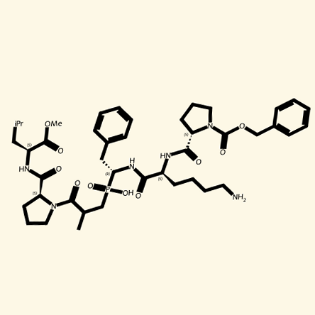 COC(=O)[C@H](CC(C)C)NC(=O)[C@@H]1CCCN1C(=O)C(C)CP(=O)(O)[C@H](Cc1ccccc1)NC(=O)[C@H](CCCCN)NC(=O)[C@@H]1CCCN1C(=O)OCc1ccccc1